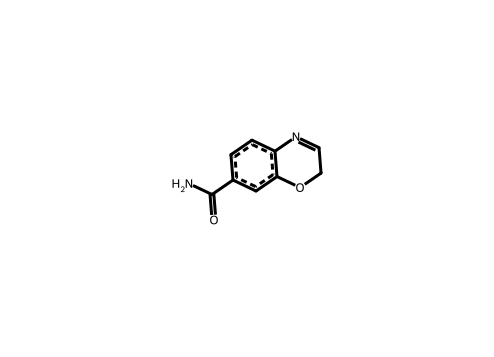 NC(=O)c1ccc2c(c1)OCC=N2